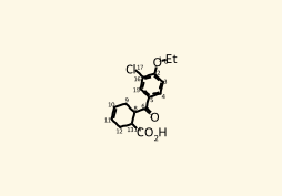 CCOc1ccc(C(=O)C2CC=CCC2C(=O)O)cc1Cl